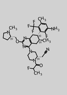 Cc1cc(N)c(F)c([C@H]2Cc3nc(OC[C@@H]4CCCN4C)nc(N4CCN(C(=O)C(C)F)[C@@H](CC#N)C4)c3C[C@@H]2C)c1C(F)(F)F